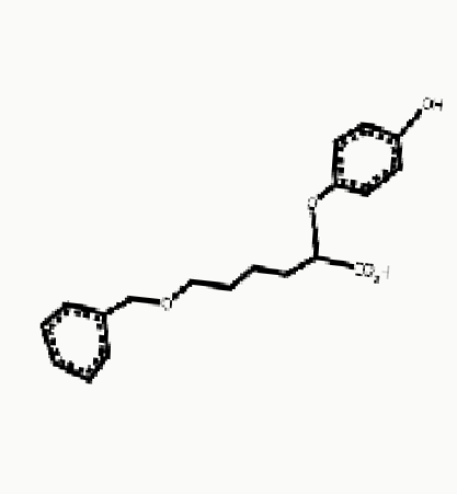 O=C(O)C(CCCCOCc1ccccc1)Oc1ccc(O)cc1